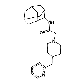 O=C(CN1CCC(Cc2ccccn2)CC1)NC1C2CC3CC(C2)CC1C3